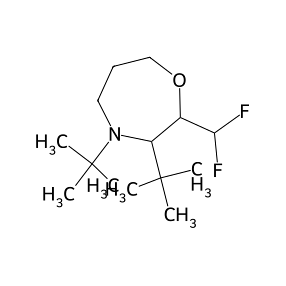 CC(C)(C)C1C(C(F)F)OCCCN1C(C)(C)C